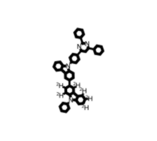 [2H]c1cc2c(c([2H])c1[2H])c1c([2H])c(-c3ccc4c(c3)c3ccccc3n4-c3ccc(-c4cc(-c5ccccc5)nc(-c5ccccc5)n4)cc3)c([2H])c([2H])c1n2-c1ccccc1